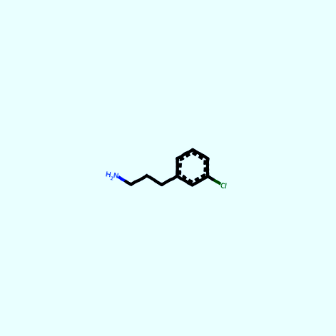 NC[CH]Cc1cccc(Cl)c1